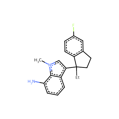 CCC1(c2cn(C)c3c(N)cccc23)CCc2cc(F)ccc21